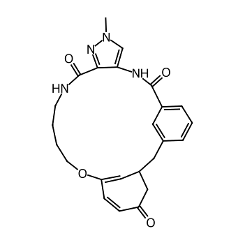 Cn1cc2c(n1)C(=O)NCCCCOC1=CC(CC(=O)C=C1)Cc1cccc(c1)C(=O)N2